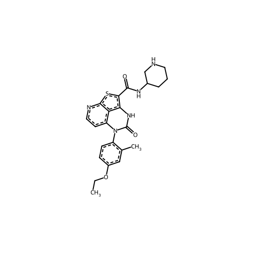 CCOc1ccc(N2C(=O)Nc3c(C(=O)NC4CCCNC4)sc4nccc2c34)c(C)c1